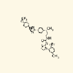 CCCc1ccc(C)cc1N1CCS/C1=N\C(=O)NCCC(C)c1ccc(-c2ncn(-c3ccc(OC(F)(F)F)cc3)n2)cc1